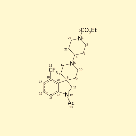 CCOC(=O)N1CCC(N2CCC3(CC2)CN(C(C)=O)c2cccc(C(F)(F)F)c23)CC1